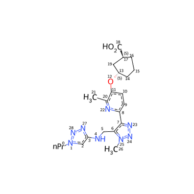 CCCn1cc(NCc2c(-c3ccc(O[C@H]4CCC[C@H](C(=O)O)C4)c(C)n3)nnn2C)nn1